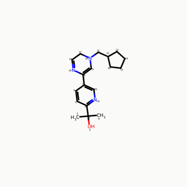 CC(C)(O)c1ccc(C2=CN(CC3CCCC3)CC=N2)cn1